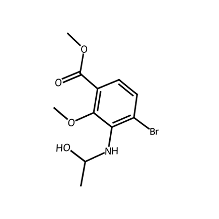 COC(=O)c1ccc(Br)c(NC(C)O)c1OC